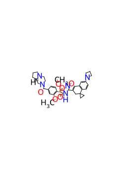 COc1cc(C(=O)N2CCN3CCC[C@H]3C2)cc(OC)c1S(=O)(=O)Nc1noc2c1CC1(CC1)c1ccc(N3CCC3)cc1-2